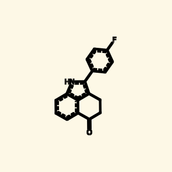 O=C1CCc2c(-c3ccc(F)cc3)[nH]c3cccc1c23